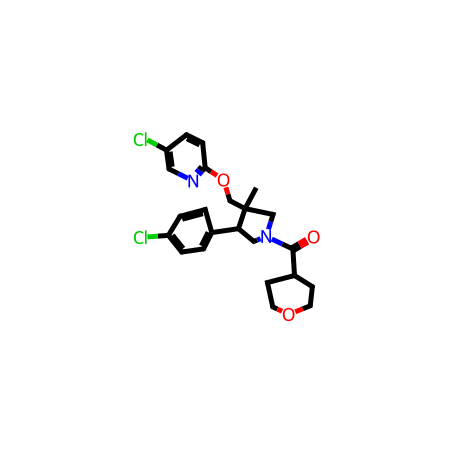 CC1(COc2ccc(Cl)cn2)CN(C(=O)C2CCOCC2)CC1c1ccc(Cl)cc1